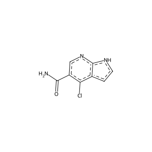 NC(=O)c1cnc2[nH]ccc2c1Cl